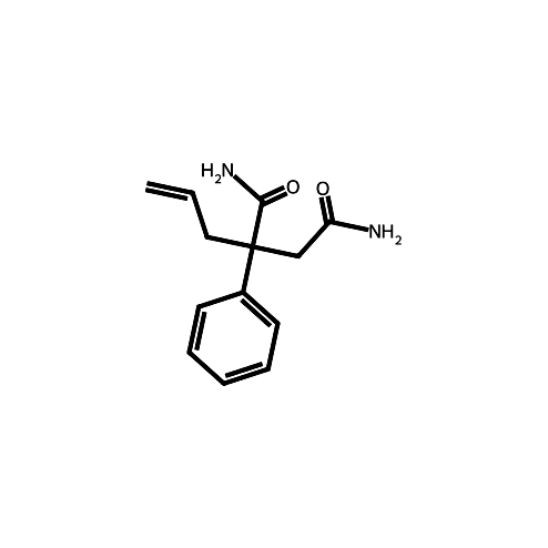 C=CCC(CC(N)=O)(C(N)=O)c1ccccc1